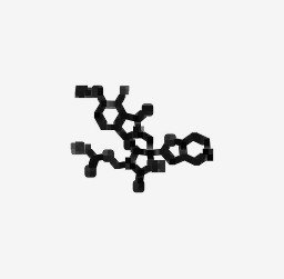 COc1ccc2c(c1F)C(=O)N(C[C@@]1(c3cc4cnccc4o3)NC(=O)N(COC(=O)C(C)(C)C)C1=O)C2